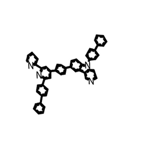 c1ccc(-c2ccc(-c3cc(-c4ccc(-c5ccc6c(c5)c5cnccc5n6-c5ccc(-c6ccccc6)cc5)cc4)cc(-c4ccccn4)n3)cc2)cc1